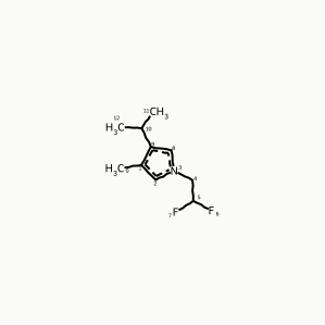 Cc1cn(CC(F)F)cc1C(C)C